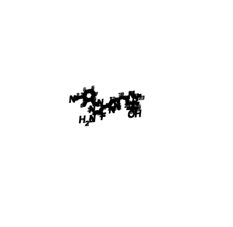 Cc1c(C#N)cccc1-c1nc(N)c(F)c(-c2cn(CC3=NN(C)C(C)(C(C)(C)O)C3)nn2)n1